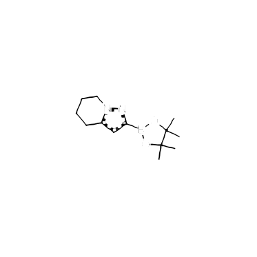 CC1(C)OB(c2cc3n(n2)CCCC3)OC1(C)C